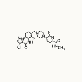 CNC(=O)c1ccc(N2CCN(Cc3ccc4c([nH]c(=O)c5c(Cl)cnn54)c3F)CC2)c(F)n1